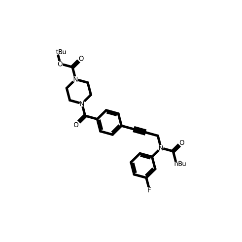 CCCCC(=O)N(CC#Cc1ccc(C(=O)N2CCN(C(=O)OC(C)(C)C)CC2)cc1)c1cccc(F)c1